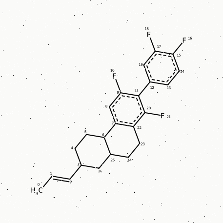 C/C=C/C1CCC2c3cc(F)c(-c4ccc(F)c(F)c4)c(F)c3CCC2C1